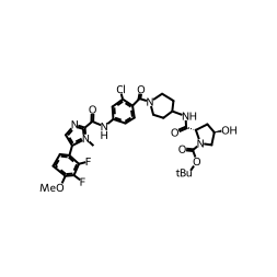 COc1ccc(-c2cnc(C(=O)Nc3ccc(C(=O)N4CCC(NC(=O)[C@@H]5C[C@@H](O)CN5C(=O)OC(C)(C)C)CC4)c(Cl)c3)n2C)c(F)c1F